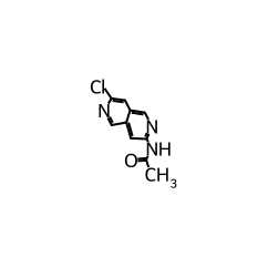 CC(=O)Nc1cc2cnc(Cl)cc2cn1